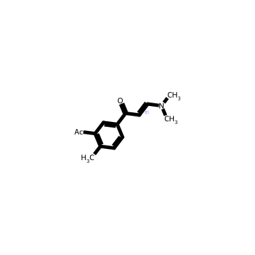 CC(=O)c1cc(C(=O)/C=C/N(C)C)ccc1C